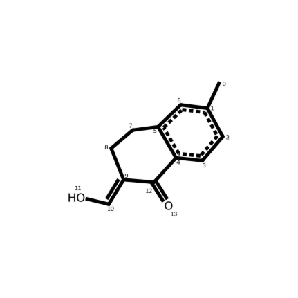 Cc1ccc2c(c1)CCC(=CO)C2=O